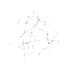 CCC[Si](CCC)(CCC)[C](c1ccccc1)([Cr]([C](c1ccccc1)([Si](CCC)(CCC)CCC)[Si](CCC)(CCC)CCC)[C](c1ccccc1)([Si](CCC)(CCC)CCC)[Si](CCC)(CCC)CCC)[Si](CCC)(CCC)CCC